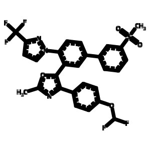 Cc1nc(-c2ccc(OC(F)F)cc2)c(-c2cc(-c3cccc(S(C)(=O)=O)c3)ccc2-n2ccc(C(F)(F)F)n2)o1